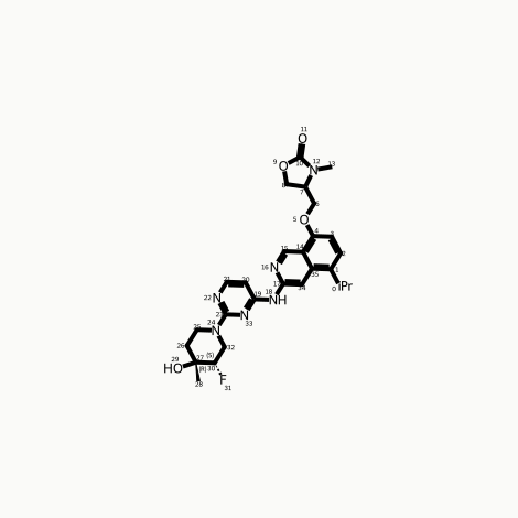 CC(C)c1ccc(OCC2COC(=O)N2C)c2cnc(Nc3ccnc(N4CC[C@@](C)(O)[C@@H](F)C4)n3)cc12